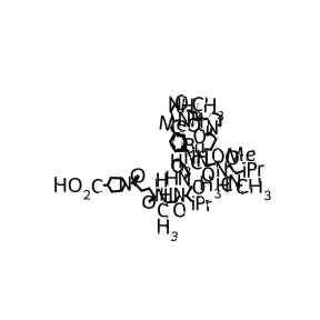 CC[C@H](C)[C@@H]([C@@H](CC(=O)N1CCC[C@H]1[C@H](OC)[C@@H](C)C(=O)N[C@H](CN)Cc1ccc(NC(=O)CNC(=O)C(NC(=O)[C@H](C)NC(=O)CCC(=O)N2CCC(C(=O)O)CC2)C(C)C)cc1)OC)N(C)C(=O)CNC(=O)C(C(C)C)N(C)C